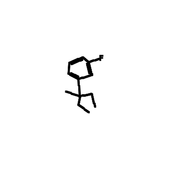 CCC(C)(CC)c1cccc(F)c1